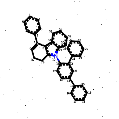 C1=C(c2ccccc2)c2c(n(-c3ccc(-c4ccccc4)cc3-c3ccccc3)c3ccccc23)CC1